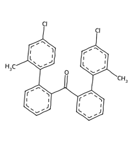 Cc1cc(Cl)ccc1-c1ccccc1C(=O)c1ccccc1-c1ccc(Cl)cc1C